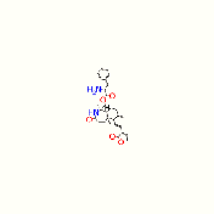 C=C1CC[C@H]2[C@@](C)(CCC(=O)N[C@@]2(C)COC(=O)C(N)Cc2ccccc2)[C@@H]1/C=C/C1=CCOC1=O